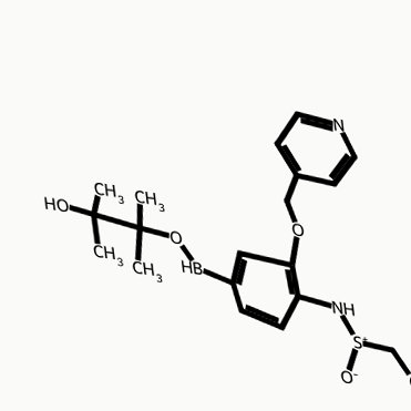 CC[S+]([O-])Nc1ccc(BOC(C)(C)C(C)(C)O)cc1OCc1ccncc1